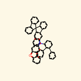 c1ccc(-c2ccccc2-c2c(-c3ccccc3)cccc2N(c2ccc3c(c2)-c2ccccc2C32c3ccccc3-c3ccccc32)c2ccc3oc4ccccc4c3c2)cc1